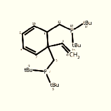 C=CC1(CP(C(C)(C)C)C(C)(C)C)C=CC=CC1CP(C(C)(C)C)C(C)(C)C